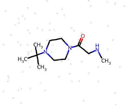 CNCC(=O)N1CCN(C(C)(C)C)CC1